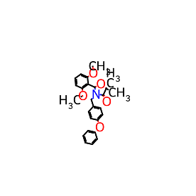 COc1cccc(OC)c1C1OC(C)(C)C(=O)N1Cc1ccc(Oc2ccccc2)cc1